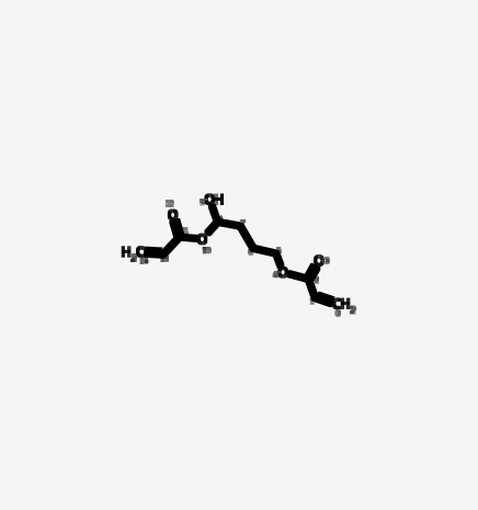 C=CC(=O)OCCCC(O)OC(=O)C=C